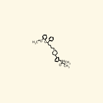 CCOc1ccccc1OC(CCCCN1CCC(c2cccc(NC(=O)C(C)C)c2)CC1)c1ccccc1